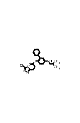 CC(C)CNc1ccc(OC2=Nn3c(Cl)nnc3CC2)c(-c2ccccc2)c1